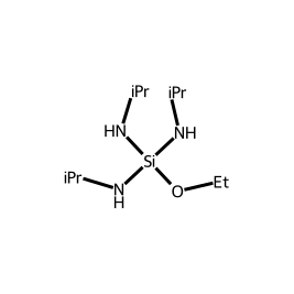 CCO[Si](NC(C)C)(NC(C)C)NC(C)C